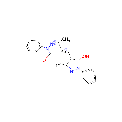 CC1=NN(c2ccccc2)C(O)C1/C=C/C(C)=N\N(C=O)c1ccccc1